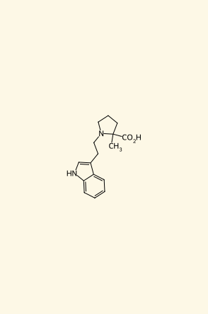 CC1(C(=O)O)CCCN1CCc1c[nH]c2ccccc12